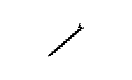 [CH2]CCCCCCCCCCCCCCCCCCCCCCCCCCC(C)CC